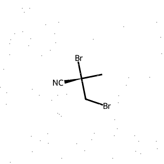 C[C@](Br)(C#N)CBr